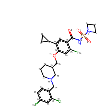 O=C(NS(=O)(=O)N1CCC1)c1cc(C2CC2)c(OC[C@@H]2CCCN(Cc3ccc(F)cc3Cl)C2)cc1F